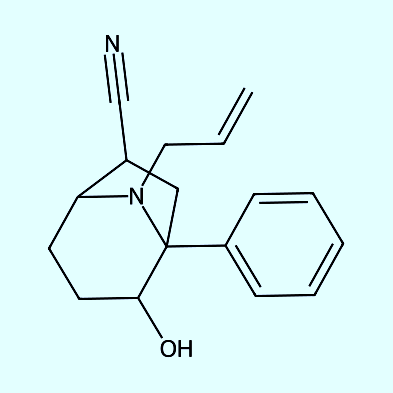 C=CCN1C2CCC(O)C1(c1ccccc1)CC2C#N